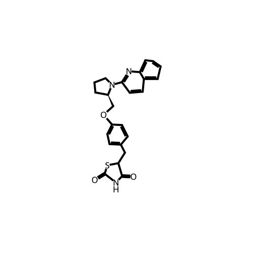 O=C1NC(=O)C(Cc2ccc(OC[C@H]3CCCN3c3ccc4ccccc4n3)cc2)S1